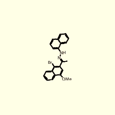 COc1cc(C(C)=NNc2cccc3ccccc23)c(Br)c2ccccc12